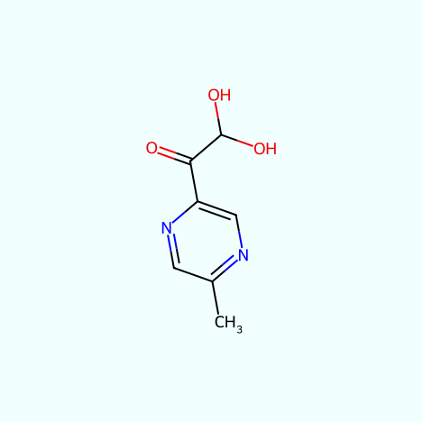 Cc1cnc(C(=O)C(O)O)cn1